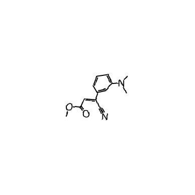 COC(=O)C=C(C#N)c1cccc(N(C)C)c1